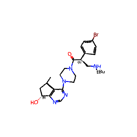 CC1C[C@@H](O)c2ncnc(N3CCN(C(=O)[C@H](CNC(C)(C)C)c4ccc(Br)cc4)CC3)c21